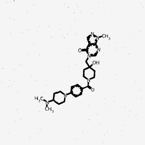 CN(C)C1CCN(c2ccc(C(=O)N3CCC(O)(Cn4cnc5c(cnn5C)c4=O)CC3)cc2)CC1